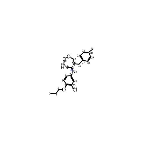 CCCOc1ccc(/N=C2\NCOOCN2Cc2ccc(C)cc2)cc1Cl